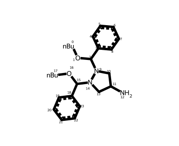 CCCCOC(c1ccccc1)N1CC(N)CN1C(OCCCC)c1ccccc1